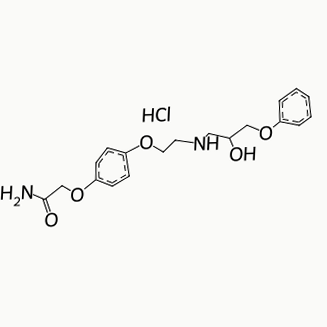 Cl.NC(=O)COc1ccc(OCCNCC(O)COc2ccccc2)cc1